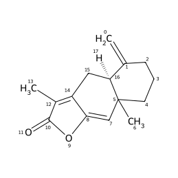 C=C1CCCC2(C)C=C3OC(=O)C(C)=C3C[C@@H]12